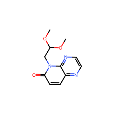 COC(Cn1c(=O)ccc2nccnc21)OC